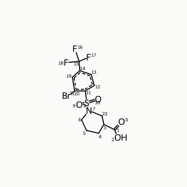 O=C(O)C1CCCN(S(=O)(=O)c2ccc(C(F)(F)F)cc2Br)C1